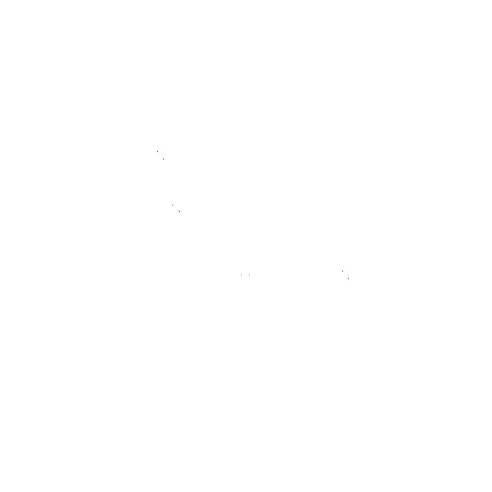 COc1cc(C(O)CC=Cc2cnccn2)c(F)cn1